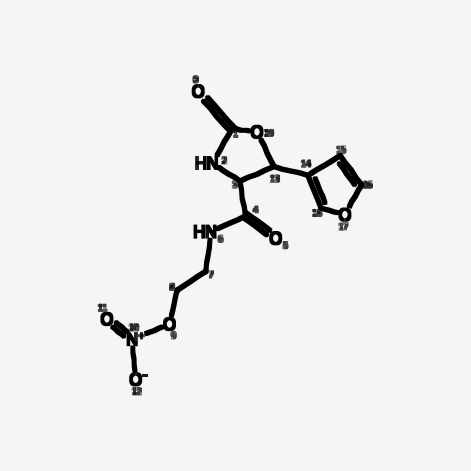 O=C1NC(C(=O)NCCO[N+](=O)[O-])C(c2ccoc2)O1